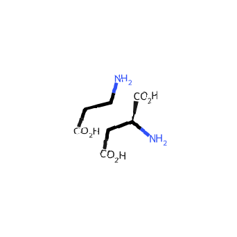 NCCC(=O)O.N[C@@H](CC(=O)O)C(=O)O